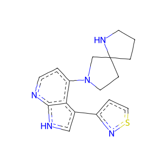 c1cc(N2CCC3(CCCN3)C2)c2c(-c3ccsn3)c[nH]c2n1